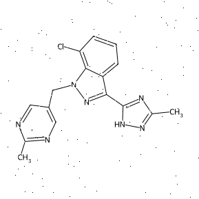 Cc1ncc(Cn2nc(-c3nc(C)n[nH]3)c3cccc(Cl)c32)cn1